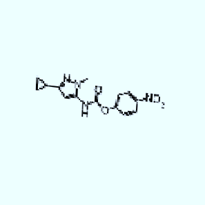 Cn1nc(C2CC2)cc1NC(=O)Oc1ccc([N+](=O)[O-])cc1